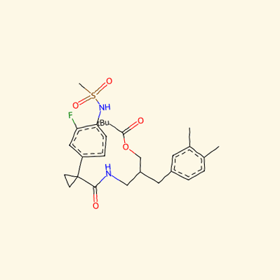 Cc1ccc(CC(CNC(=O)C2(c3ccc(NS(C)(=O)=O)c(F)c3)CC2)COC(=O)C(C)(C)C)cc1C